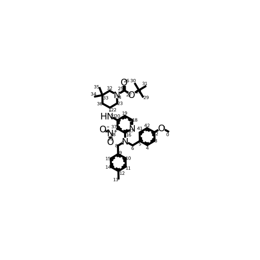 COc1ccc(CN(Cc2ccc(C)cc2)c2nccc(N[C@H]3CN(C(=O)OC(C)(C)C)CC(C)(C)C3)c2[N+](=O)[O-])cc1